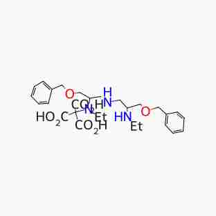 CCNC(CNCC(COCc1ccccc1)N(CC)C(C(=O)O)(C(=O)O)C(=O)O)COCc1ccccc1